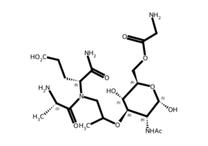 CC(=O)N[C@@H]1[C@@H](OC(C)CN(C(=O)[C@H](C)N)[C@H](CCC(=O)O)C(N)=O)[C@H](O)[C@@H](COC(=O)CN)O[C@@H]1O